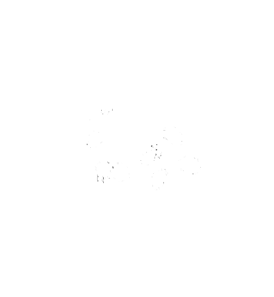 COC(=O)c1ccc(-c2cnc3ccc(-c4cnn(C(c5ccccc5)(c5ccccc5)c5ccccc5)c4)cn23)nc1